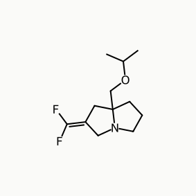 CC(C)OCC12CCCN1CC(=C(F)F)C2